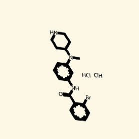 CN(c1cccc(NC(=O)c2ccccc2Br)c1)C1CCNCC1.Cl.Cl